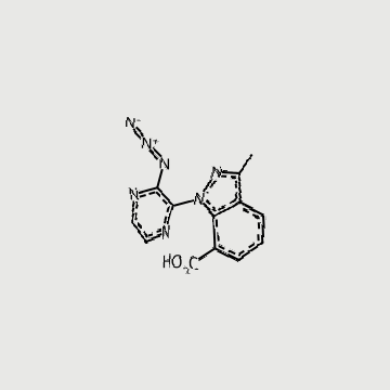 Cc1nn(-c2nccnc2N=[N+]=[N-])c2c(C(=O)O)cccc12